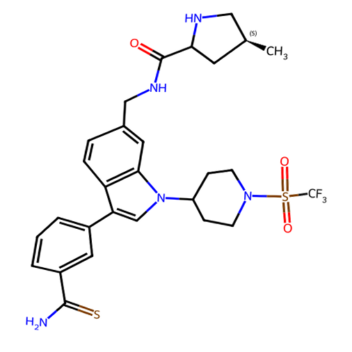 C[C@@H]1CNC(C(=O)NCc2ccc3c(-c4cccc(C(N)=S)c4)cn(C4CCN(S(=O)(=O)C(F)(F)F)CC4)c3c2)C1